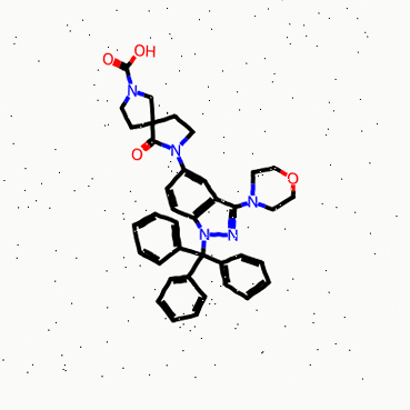 O=C(O)N1CCC2(CCN(c3ccc4c(c3)c(N3CCOCC3)nn4C(c3ccccc3)(c3ccccc3)c3ccccc3)C2=O)C1